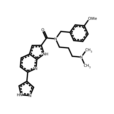 COc1cccc(CN(CCCN(C)C)C(=O)c2cc3ccc(-c4cn[nH]c4)nc3[nH]2)c1